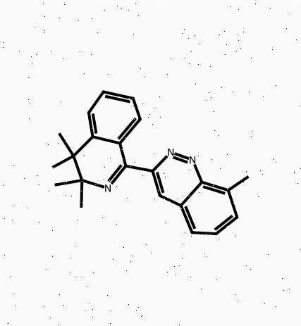 Cc1cccc2cc(C3=NC(C)(C)C(C)(C)c4ccccc43)nnc12